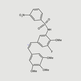 COc1cc(/C=C\c2cc(F)c(OC)c(NS(=O)(=O)c3cccc([N+](=O)[O-])c3)c2)cc(OC)c1OC